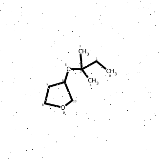 CCC(C)(C)OC1CCOC1